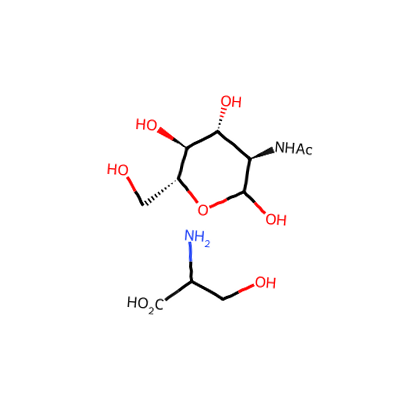 CC(=O)N[C@H]1C(O)O[C@H](CO)[C@@H](O)[C@@H]1O.NC(CO)C(=O)O